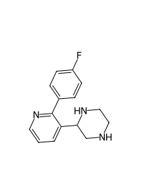 Fc1ccc(-c2ncccc2C2CNCCN2)cc1